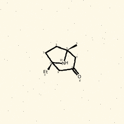 CC[C@]12CC[C@](C)(CC(=O)C1)N2